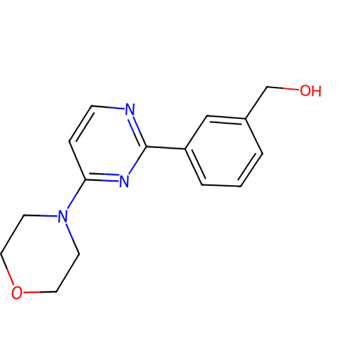 OCc1cccc(-c2nccc(N3CCOCC3)n2)c1